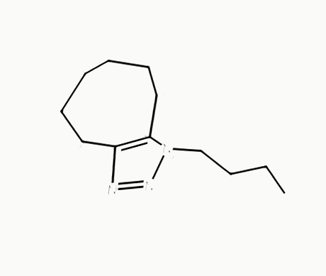 CCCCn1nnc2c1CCCCCC2